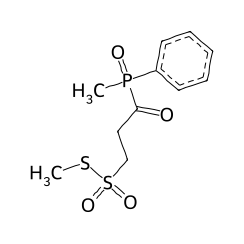 CSS(=O)(=O)CCC(=O)P(C)(=O)c1ccccc1